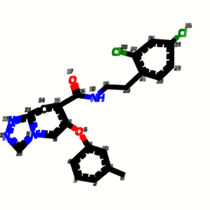 Cc1cccc(Oc2cn3cnnc3cc2C(=O)NCCc2ccc(Cl)cc2Cl)c1